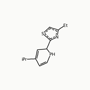 CCc1csc(C2C=C(C(C)C)C=CP2)n1